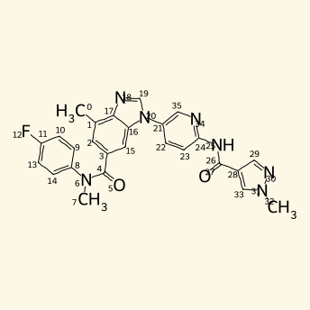 Cc1cc(C(=O)N(C)c2ccc(F)cc2)cc2c1ncn2-c1ccc(NC(=O)c2cnn(C)c2)nc1